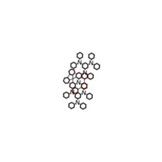 c1ccc(-c2cccc(-c3ccccc3)c2N2c3cc(N(c4ccccc4)c4cc(N(c5ccccc5)c5ccccc5)cc(N(c5ccccc5)c5ccccc5)c4)ccc3C3(c4ccccc4-c4ccccc43)c3ccc(N(c4ccccc4)c4cc(N(c5ccccc5)c5ccccc5)cc(N(c5ccccc5)c5ccccc5)c4)cc32)cc1